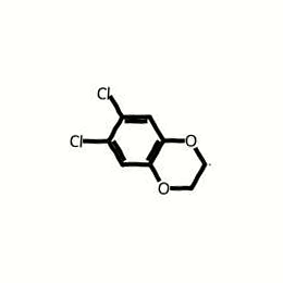 Clc1cc2c(cc1Cl)OC[CH]O2